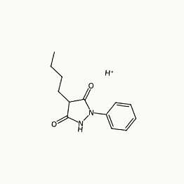 CCCCC1C(=O)NN(c2ccccc2)C1=O.[H+]